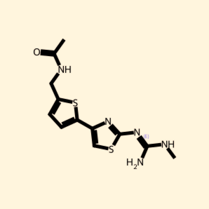 CN/C(N)=N/c1nc(-c2ccc(CNC(C)=O)s2)cs1